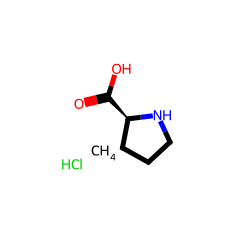 C.Cl.O=C(O)[C@@H]1CCCN1